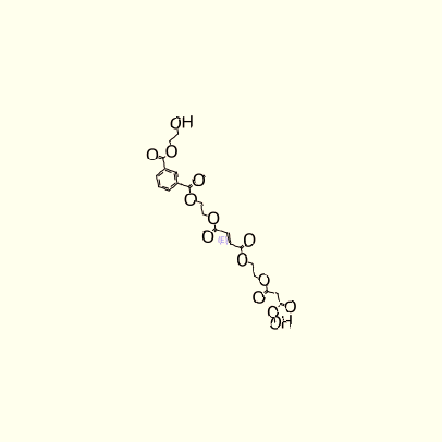 O=C(/C=C/C(=O)OCCOC(=O)c1cccc(C(=O)OCCO)c1)OCCOC(=O)CC(=O)OO